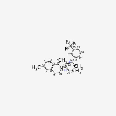 C=C1c2ccc(C)cc2CCN1C(/C=C(\C)c1cccc(C(F)(F)F)c1)=C/C